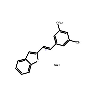 COc1cc(O)cc(/C=C/c2cc3ccccc3s2)c1.[NaH]